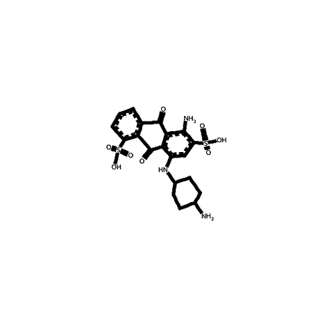 Nc1c(S(=O)(=O)O)cc(NC2CCC(N)CC2)c2c1C(=O)c1cccc(S(=O)(=O)O)c1C2=O